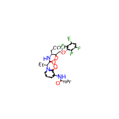 CCCC(=O)Nc1cccn([C@@H](CC)C(=O)N[C@@H](CC(=O)O)C(=O)COc2c(F)c(F)cc(F)c2F)c1=O